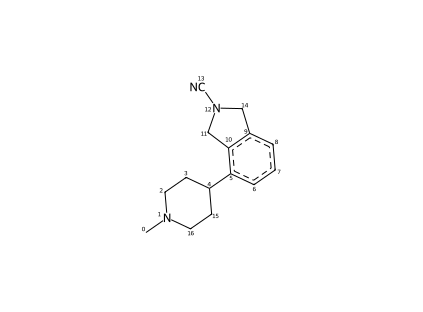 CN1CCC(c2cccc3c2CN(C#N)C3)CC1